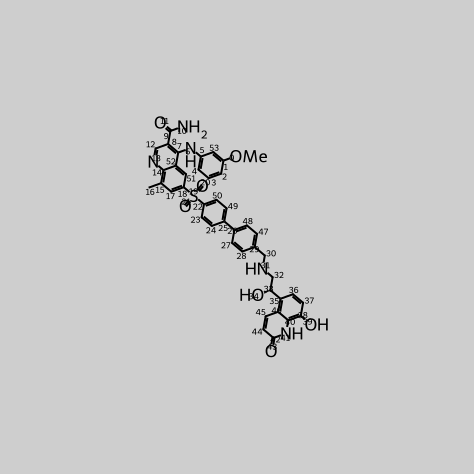 COc1cccc(Nc2c(C(N)=O)cnc3c(C)cc(S(=O)(=O)c4ccc(-c5ccc(CNC[C@H](O)c6ccc(O)c7[nH]c(=O)ccc67)cc5)cc4)cc23)c1